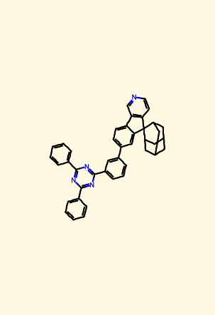 c1ccc(-c2nc(-c3ccccc3)nc(-c3cccc(-c4ccc5c(c4)C4(c6ccncc6-5)C5CC6CC(C5)CC4C6)c3)n2)cc1